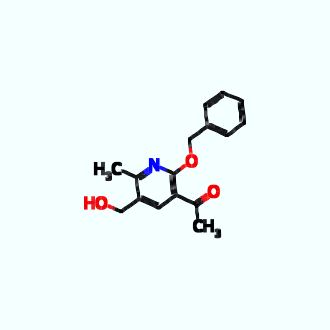 CC(=O)c1cc(CO)c(C)nc1OCc1ccccc1